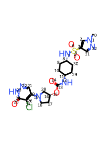 Cn1cc(S(=O)(=O)N[C@H]2CC[C@H](NC(=O)O[C@@H]3CCN(c4cn[nH]c(=O)c4Cl)C3)CC2)cn1